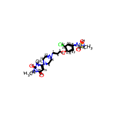 Cn1c(N2CCN(CCCOc3ccc(NS(C)(=O)=O)cc3Cl)CC2)cc(=O)n(C)c1=O